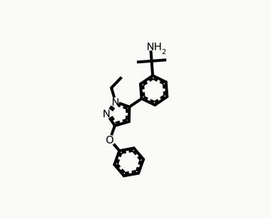 CCn1nc(Oc2ccccc2)cc1-c1cccc(C(C)(C)N)c1